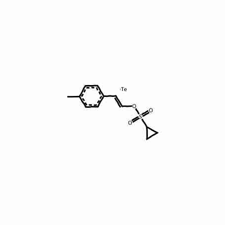 Cc1ccc(C=COS(=O)(=O)C2CC2)cc1.[Te]